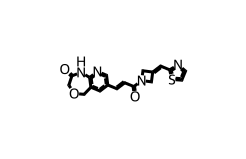 O=C1COCc2cc(/C=C/C(=O)N3CC(=Cc4nccs4)C3)cnc2N1